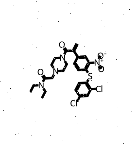 C=C(C(=O)N1CCN(CC(=O)N(CC)CC)CC1)c1ccc(Sc2ccc(Cl)cc2Cl)c([N+](=O)[O-])c1